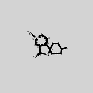 CC1CCC2(CC1)OC(=O)c1c[n+]([O-])ccc12